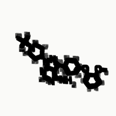 COc1ccccc1Oc1ccc(-c2nn(C3CCN(C(C)(C)C)CC3)c3ncnc(N)c23)cc1